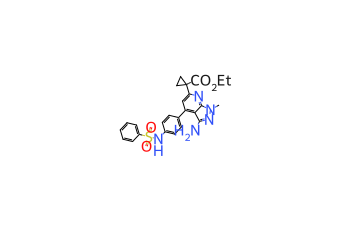 CCOC(=O)C1(c2cc(-c3ccc(NS(=O)(=O)c4ccccc4)cc3)c3c(N)nn(C)c3n2)CC1